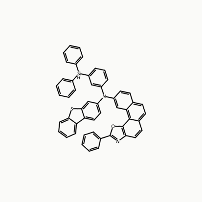 c1ccc(-c2nc3ccc4ccc5ccc(N(c6cccc([SiH](c7ccccc7)c7ccccc7)c6)c6ccc7c(c6)sc6ccccc67)cc5c4c3o2)cc1